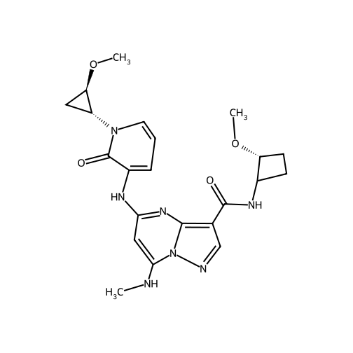 CNc1cc(Nc2cccn([C@@H]3C[C@H]3OC)c2=O)nc2c(C(=O)NC3CC[C@H]3OC)cnn12